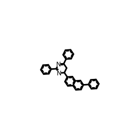 c1ccc(C2=NC(c3ccccc3)=NC(c3ccc4ccc(-c5ccccc5)cc4c3)C2)cc1